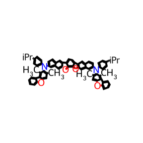 Cc1cc2oc3ccccc3c2c(C)c1N(c1ccc(C(C)C)cc1)c1ccc2cc3c(cc2c1)oc1c3ccc2c3cc4ccc(N(c5ccc(C(C)C)cc5)c5c(C)cc6oc7ccccc7c6c5C)cc4cc3oc21